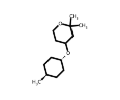 CC1(C)CC(O[C@H]2CC[C@H](C)CC2)CCO1